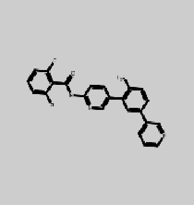 Cc1ccc(-c2cccnc2)cc1-c1ccc(NC(=O)c2c(F)cccc2Cl)nc1